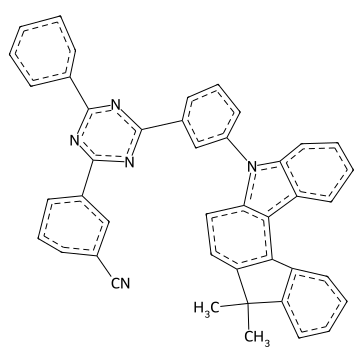 CC1(C)c2ccccc2-c2c1ccc1c2c2ccccc2n1-c1cccc(-c2nc(-c3ccccc3)nc(-c3cccc(C#N)c3)n2)c1